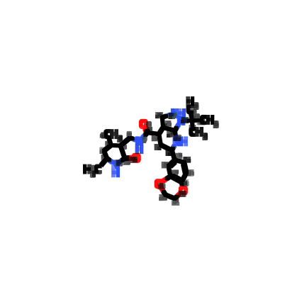 CC1CC(C)C(CNC(=O)C2CC(c3ccc4c(c3)OCCO4)NC3C2CNN3C(C)(C)C)C(=O)N1